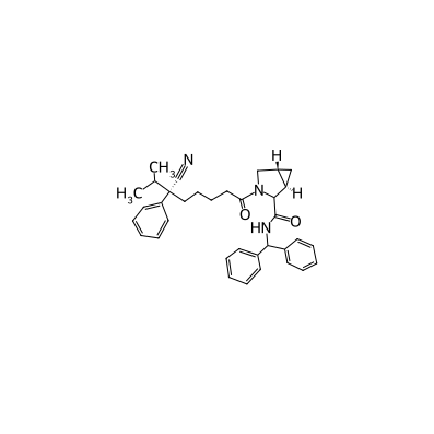 CC(C)[C@@](C#N)(CCCCC(=O)N1C[C@@H]2C[C@H]2C1C(=O)NC(c1ccccc1)c1ccccc1)c1ccccc1